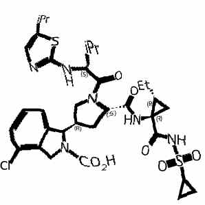 CC[C@@H]1C[C@]1(NC(=O)[C@@H]1C[C@@H](C2c3cccc(Cl)c3CN2C(=O)O)CN1C(=O)[C@@H](Nc1ncc(C(C)C)s1)C(C)C)C(=O)NS(=O)(=O)C1CC1